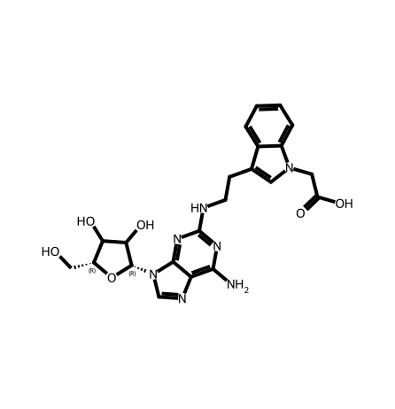 Nc1nc(NCCc2cn(CC(=O)O)c3ccccc23)nc2c1ncn2[C@@H]1O[C@H](CO)C(O)C1O